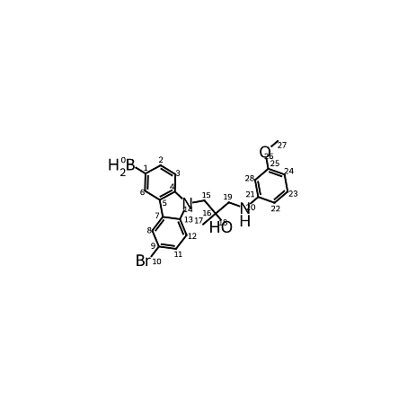 Bc1ccc2c(c1)c1cc(Br)ccc1n2CC(C)(O)CNc1cccc(OC)c1